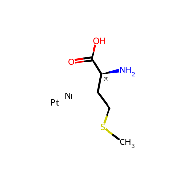 CSCC[C@H](N)C(=O)O.[Ni].[Pt]